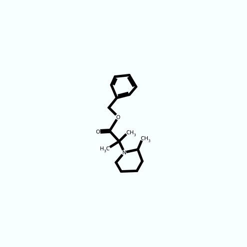 CC1CCCCN1C(C)(C)C(=O)OCc1ccccc1